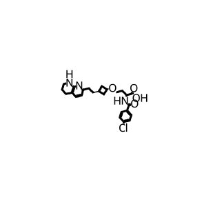 O=C(NC(CCO[C@H]1C[C@H](CCc2ccc3c(n2)NCCC3)C1)C(=O)O)c1ccc(Cl)cc1